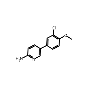 COc1ccc(-c2ccc(N)nc2)cc1Cl